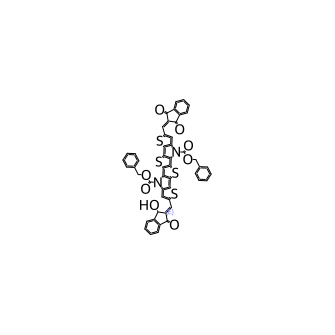 O=C1C(=Cc2cc3c(s2)c2sc4c(sc5c6sc(/C=C7/C(=O)c8ccccc8C7O)cc6n(C(=O)OCc6ccccc6)c54)c2n3C(=O)OCc2ccccc2)C(=O)c2ccccc21